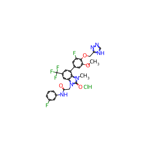 COc1cc(-c2cc(C(F)(F)F)cc3c2n(C)c(=O)n3CC(=O)Nc2cccc(F)c2)cc(F)c1OCc1nnc[nH]1.Cl